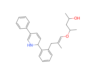 C/C(=C\OC(C)CC(C)O)Cc1ccccc1C1C=CC(c2ccccc2)=CN1